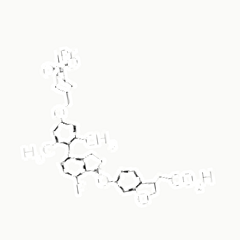 Cc1cc(OCC2CN(S(=O)(=O)C(C)C)C2)cc(C)c1-c1ccc(F)c2c1CC[C@H]2Oc1ccc2c(c1)OCC2CC(=O)O